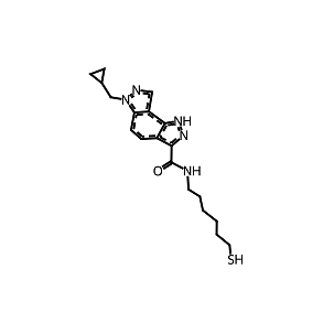 O=C(NCCCCCCS)c1n[nH]c2c1ccc1c2cnn1CC1CC1